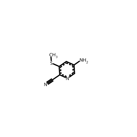 CSc1cc(N)cnc1C#N